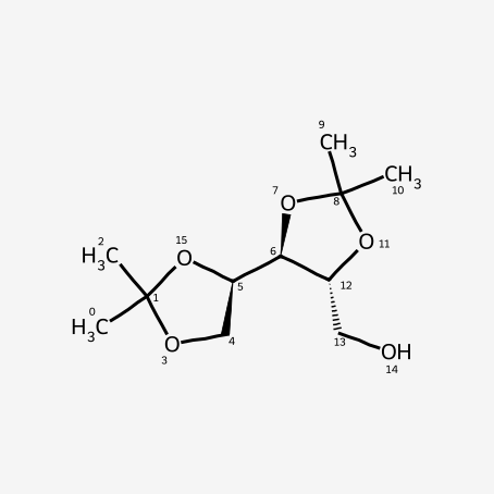 CC1(C)OC[C@H]([C@H]2OC(C)(C)O[C@@H]2CO)O1